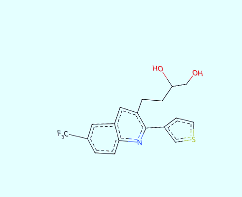 OCC(O)CCc1cc2cc(C(F)(F)F)ccc2nc1-c1ccsc1